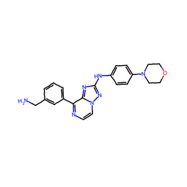 NCc1cccc(-c2nccn3nc(Nc4ccc(N5CCOCC5)cc4)nc23)c1